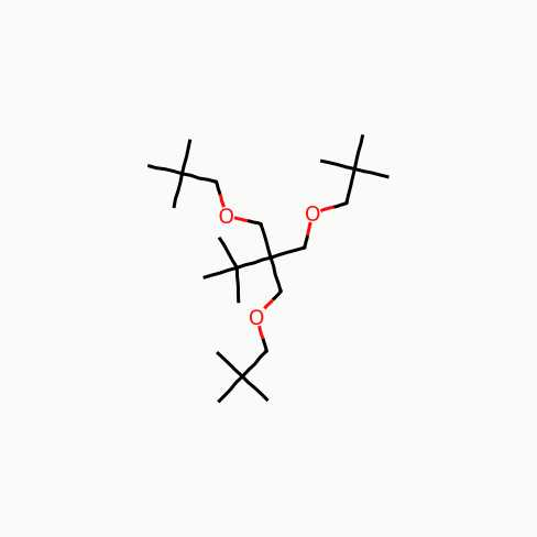 CC(C)(C)COCC(COCC(C)(C)C)(COCC(C)(C)C)C(C)(C)C